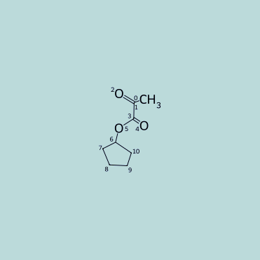 CC(=O)C(=O)OC1CCCC1